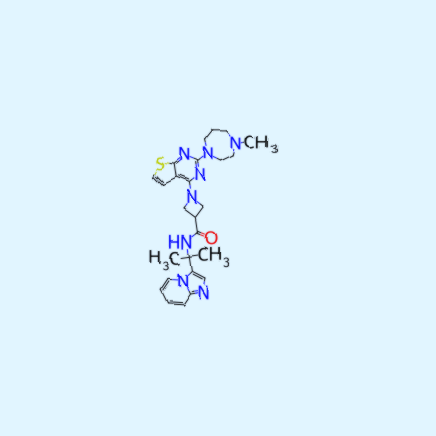 CN1CCCN(c2nc(N3CC(C(=O)NC(C)(C)c4cnc5ccccn45)C3)c3ccsc3n2)CC1